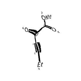 CCC#CC(=O)C(=O)OC